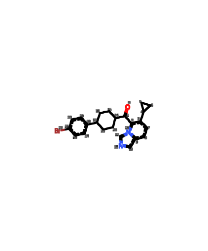 O=C(c1c(C2CC2)ccc2cncn12)C1CCC(c2ccc(Br)cc2)CC1